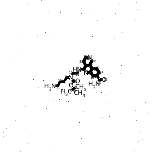 CC(C)(C)OC(=O)N(CCCCN)CCNc1nc2cc(C(N)=O)ccc2c2cnccc12